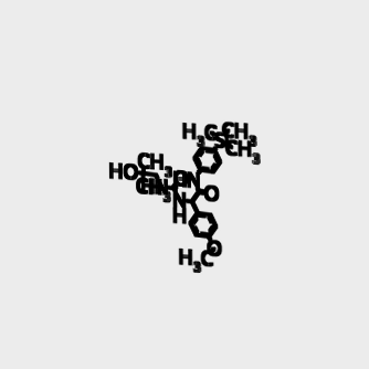 COc1ccc(C(NC(=O)NCC(C)(C)O)C(=O)Nc2ccc([Si](C)(C)C)cc2)cc1